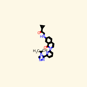 CC(C)n1cnnc1-c1cccc(-n2ccc3ccc(NCC(=O)C4CC4)cc3c2=O)n1